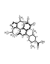 CC(C)c1cnn(C(C)C)c1-n1c(=O)nc(N2C[C@@H](C)N(C(=O)O)C[C@@H]2C)c2cc(Cl)c(Cl)nc21